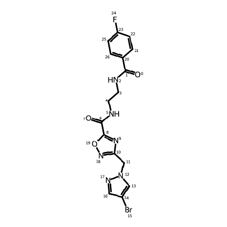 O=C(NCCNC(=O)c1nc(Cn2cc(Br)cn2)no1)c1ccc(F)cc1